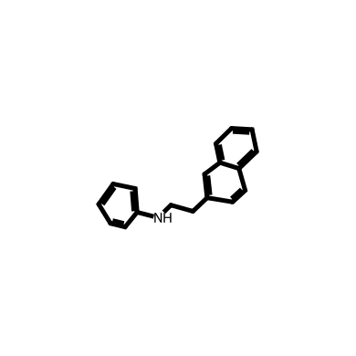 c1ccc(NCCc2ccc3ccccc3c2)cc1